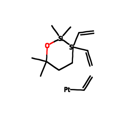 C=C[Si]1(C=C)CCC(C)(C)O[Si]1(C)C.C=[CH][Pt]